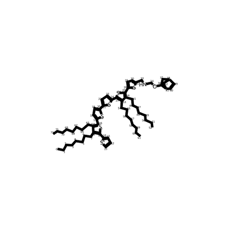 CCCCCCCCc1c(-c2cccs2)sc(-c2ccc(-c3ccc(-c4sc(-c5ccc(CNCOC6CC7C=CC6C7)s5)c(CCCCCCCC)c4CCCCCCCC)s3)s2)c1CCCCCCCC